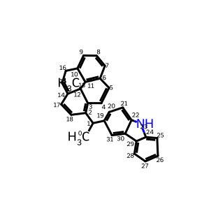 CC(C1=C2C=Cc3cccc4c3C2(C)C(=CC4)C=C1)c1ccc2[nH]c3ccccc3c2c1